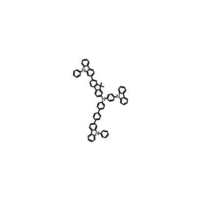 CC1(C)c2cc(-c3ccc4c5ccccc5n(-c5ccccc5)c4c3)ccc2-c2ccc(N(c3ccc(-c4ccc(-c5ccc6c7ccccc7n(-c7ccccc7)c6c5)cc4)cc3)c3ccc(-n4c5ccccc5c5ccccc54)cc3)cc21